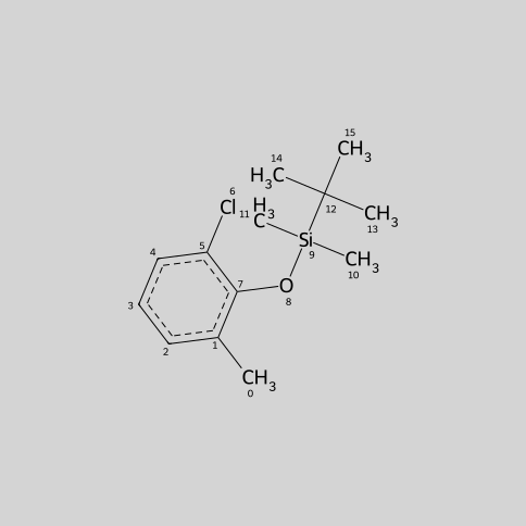 Cc1cccc(Cl)c1O[Si](C)(C)C(C)(C)C